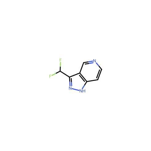 FC(F)c1n[nH]c2ccncc12